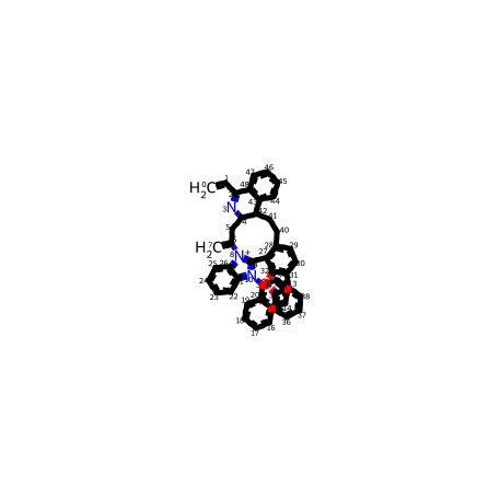 C=CC1=NC2CC(=C)[n+]3c(n(-c4cccc5ccccc45)c4ccccc43)-c3c(ccc4c3oc3ccccc34)CCC2c2ccccc21